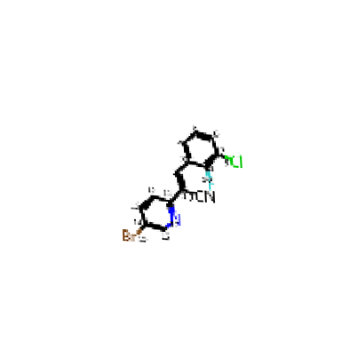 N#CC(=Cc1cccc(Cl)c1F)c1ccc(Br)cn1